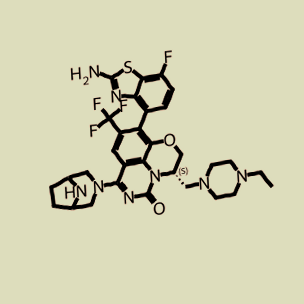 CCN1CCN(C[C@H]2COc3c(-c4ccc(F)c5sc(N)nc45)c(C(F)(F)F)cc4c(N5CC6CCC(C5)N6)nc(=O)n2c34)CC1